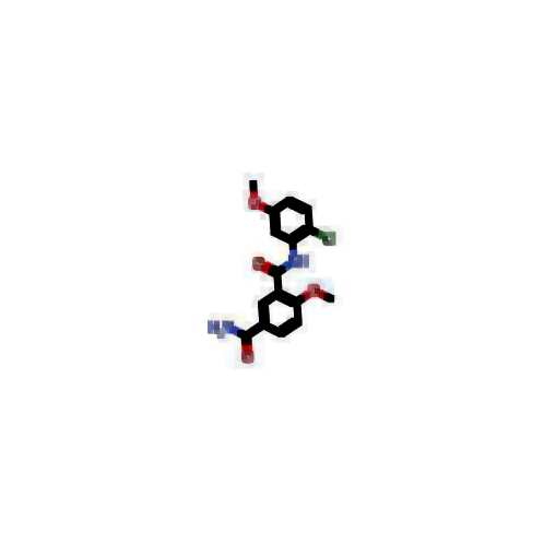 COc1ccc(Cl)c(NC(=O)c2cc(C(N)=O)ccc2OC)c1